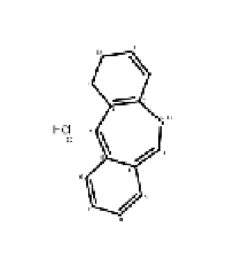 C1=CC2=C(C=c3ccccc3=CS2)CC1.Cl